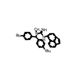 CCC(C)c1ccc(C(c2ccc(C(C)(C)C)cc2)N(C)C(=N)Nc2ccc3c4c(cccc24)C=C3)cc1